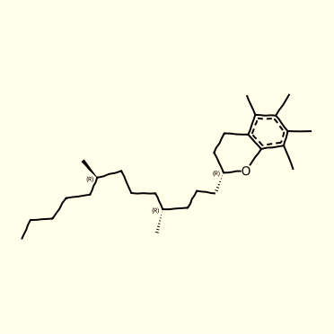 CCCCC[C@@H](C)CCC[C@@H](C)CCC[C@@H]1CCc2c(C)c(C)c(C)c(C)c2O1